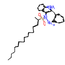 CCCCCCCCCCCCCCC(C)S(=O)(=O)N(N)c1c(-c2ccccc2)[nH]c2ccccc12